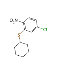 O=[N+]([O-])c1ccc(Cl)cc1SC1CCCCC1